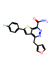 NC(=O)c1nnc(Cc2ccoc2)c2cc(-c3ccc(F)cc3)sc12